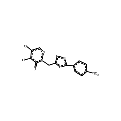 O=c1c(Cl)c(Cl)cnn1Cc1nnc(-c2ccc([N+](=O)[O-])cc2)o1